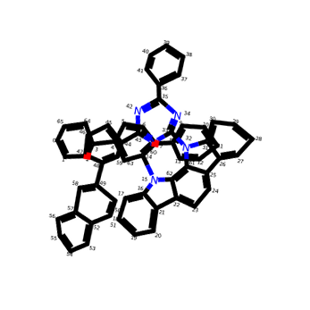 c1ccc(-c2ccc(-c3ccccc3)c(-n3c4ccccc4c4ccc5c6ccccc6n(-c6nc(-c7ccccc7)nc(-c7cccc(-c8ccc9ccccc9c8)c7)n6)c5c43)c2)cc1